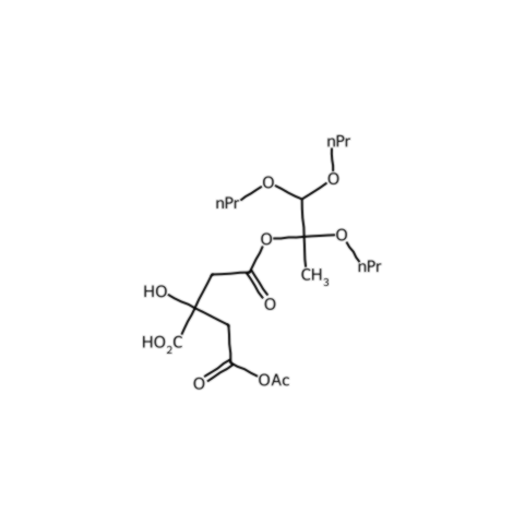 CCCOC(OCCC)C(C)(OCCC)OC(=O)CC(O)(CC(=O)OC(C)=O)C(=O)O